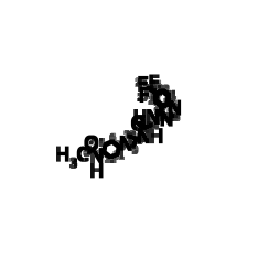 CC(=O)N[C@H]1CC[C@@H](N2CC(NC(=O)CNc3ncnc4ccc(C(F)(F)F)cc34)C2)CC1